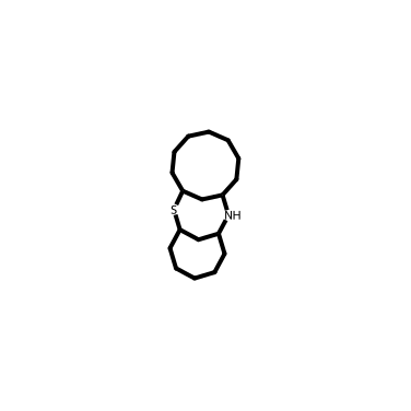 C1CCCC2CC(CCC1)SC1CCCCCC(C1)N2